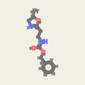 CC(C)C1CN=C(CCNC(=O)OCc2ccccc2)O1